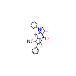 Cc1nn(-c2ccccc2)c2c1c(=O)n1nc(-c3ccccc3)c(C#N)c1n2C